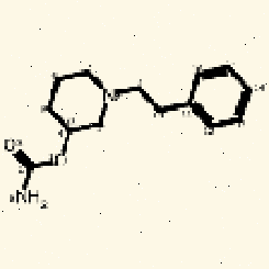 NC(=O)O[C@H]1CCCN(CCc2ccccc2)C1